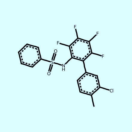 Cc1ccc(-c2c(F)c(F)c(F)c(F)c2NS(=O)(=O)c2ccccc2)cc1Cl